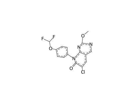 COc1ncc2cc(Cl)c(=O)n(-c3ccc(OC(F)F)cc3)c2n1